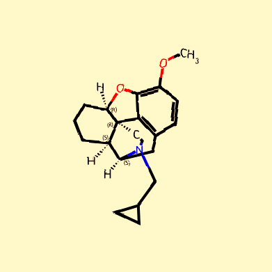 COc1ccc2c3c1O[C@@H]1CCC[C@@H]4[C@H](C2)N(CC2CC2)CC[C@]341